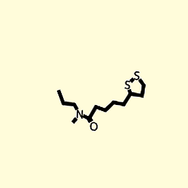 CCCN(C)C(=O)CCCCC1CCSS1